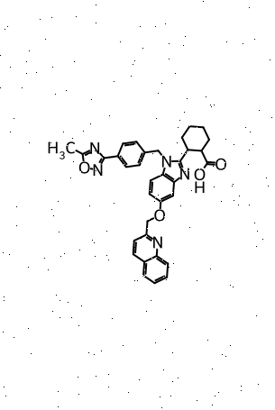 Cc1nc(-c2ccc(Cn3c(C4CCCCC4C(=O)O)nc4cc(OCc5ccc6ccccc6n5)ccc43)cc2)no1